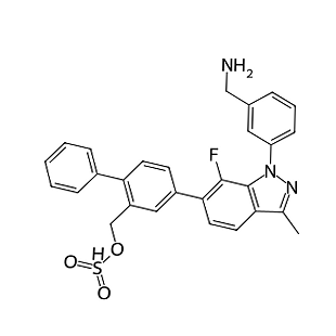 Cc1nn(-c2cccc(CN)c2)c2c(F)c(-c3ccc(-c4ccccc4)c(CO[SH](=O)=O)c3)ccc12